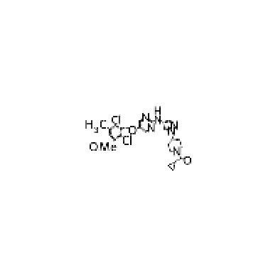 COc1cc(C)c(Cl)c(COc2cnc(Nc3cnn(C4CCN(C(=O)C5CC5)CC4)c3)nc2)c1Cl